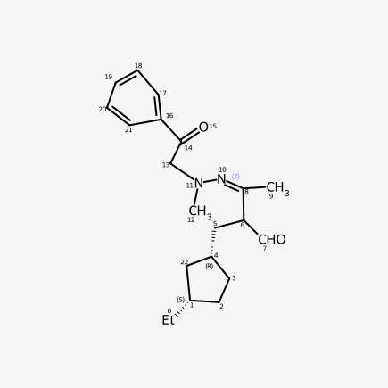 CC[C@H]1CC[C@@H](CC(C=O)/C(C)=N\N(C)CC(=O)c2ccccc2)C1